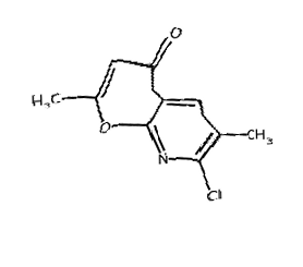 Cc1cc(=O)c2cc(C)c(Cl)nc2o1